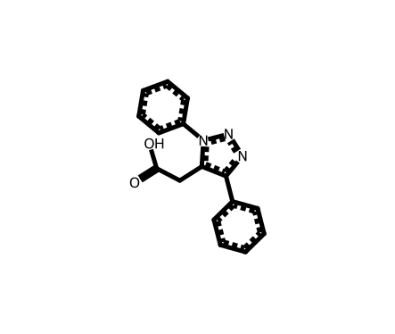 O=C(O)Cc1c(-c2ccccc2)nnn1-c1ccccc1